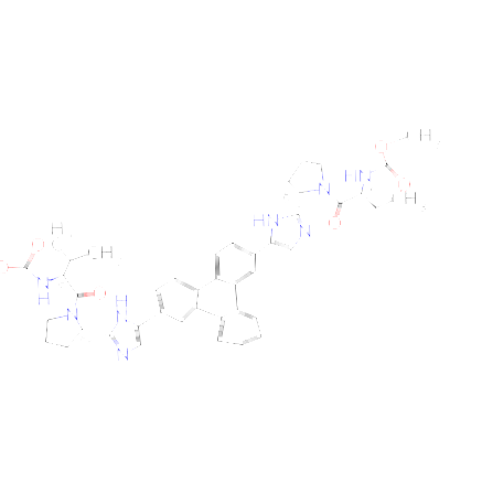 CC[C@H](NC(=O)OC)C(=O)N1CCC[C@H]1c1ncc(-c2ccc3c4ccc(-c5cnc([C@@H]6CCCN6C(=O)[C@@H](NC(=O)OC)C(C)C)[nH]5)cc4c4ccccc4c3c2)[nH]1